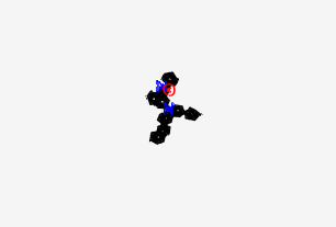 c1ccc(-c2ccc3c(c2)c2cc(-c4ccc5ccccc5c4)ccc2n3-c2cc3c4c(cccc4c2)-c2nc(-c4ccccc4)oc2-3)cc1